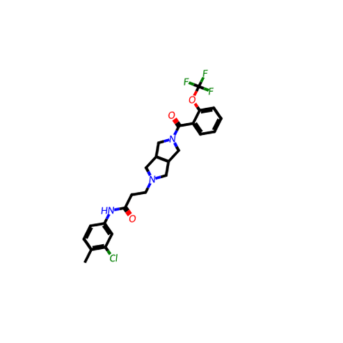 Cc1ccc(NC(=O)CCN2CC3CN(C(=O)c4ccccc4OC(F)(F)F)CC3C2)cc1Cl